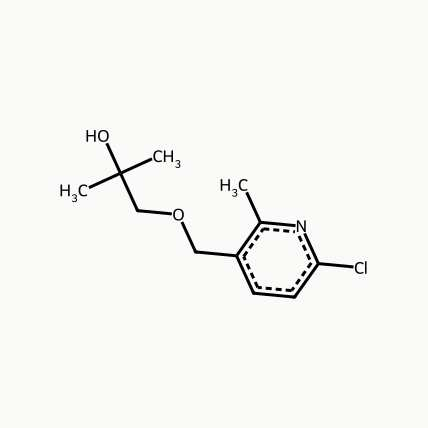 Cc1nc(Cl)ccc1COCC(C)(C)O